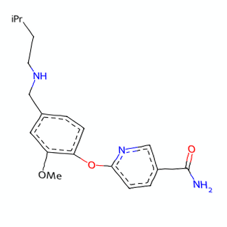 COc1cc(CNCCC(C)C)ccc1Oc1ccc(C(N)=O)cn1